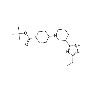 CCc1n[nH]c(C2CCCN(C3CCN(C(=O)OC(C)(C)C)CC3)C2)n1